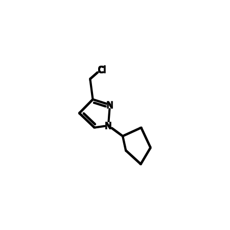 ClCc1ccn(C2CCCC2)n1